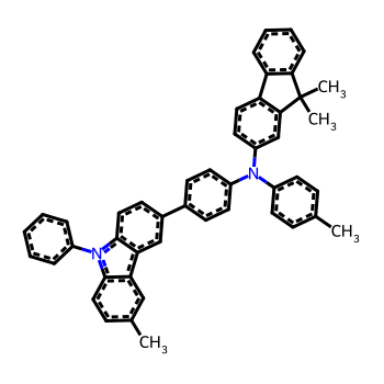 Cc1ccc(N(c2ccc(-c3ccc4c(c3)c3cc(C)ccc3n4-c3ccccc3)cc2)c2ccc3c(c2)C(C)(C)c2ccccc2-3)cc1